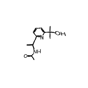 CC(=O)NC(C)c1cccc(C(C)(C)O)n1